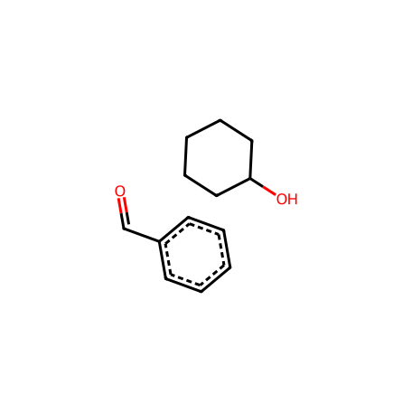 O=Cc1ccccc1.OC1CCCCC1